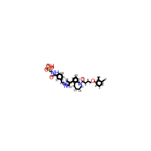 Cc1cccc(OCCCC(=O)N2CCCCc3c(-c4cnn(Cc5cccc(C(=O)NCS(=O)(=O)O)c5)c4)cccc32)c1C